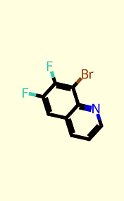 Fc1cc2cccnc2c(Br)c1F